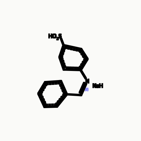 O=S(=O)(O)c1ccc(/N=C\c2ccccc2)cc1.[NaH]